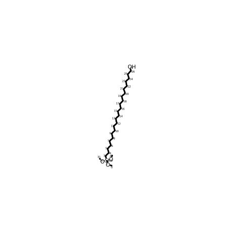 CO[Si](CCCCCCCCCCCCCCCCCCCCCCCCO)(OC)OC